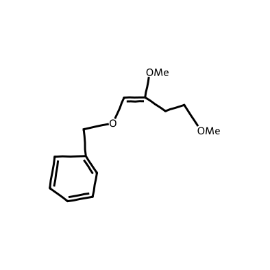 COCCC(=COCc1ccccc1)OC